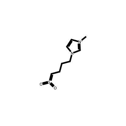 C[n+]1ccn(CCCC=S(=O)=O)c1